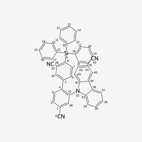 N#Cc1ccc(-c2ccc([Si](c3ccccc3)(c3ccccc3)c3ccccc3)c(C#N)c2)c(-n2c3ccccc3c3cc(C#N)ccc32)c1